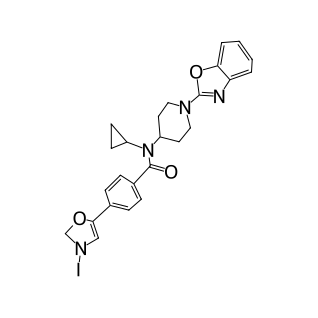 O=C(c1ccc(C2=CN(I)CO2)cc1)N(C1CC1)C1CCN(c2nc3ccccc3o2)CC1